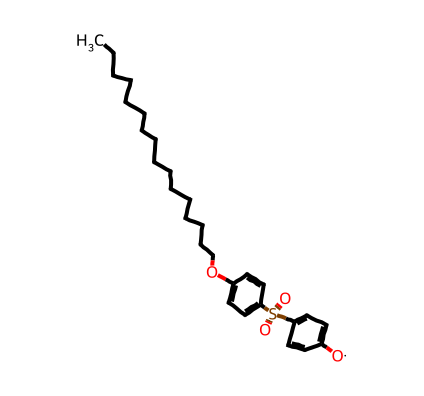 CCCCCCCCCCCCCCCCOc1ccc(S(=O)(=O)c2ccc([O])cc2)cc1